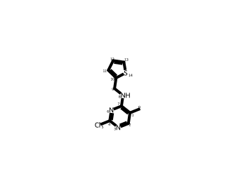 Cc1cnc(Cl)nc1NCc1cccs1